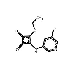 CCOc1c(Nc2cncc(Br)c2)c(=O)c1=O